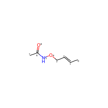 CC=CCONC(C)=O